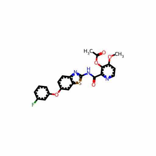 COc1ccnc(C(=O)Nc2nc3ccc(Oc4cccc(F)c4)cc3s2)c1OC(C)=O